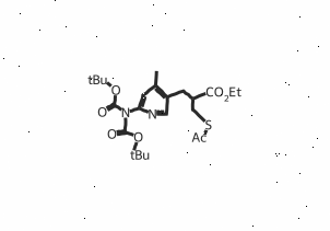 CCOC(=O)C(CSC(C)=O)Cc1cnc(N(C(=O)OC(C)(C)C)C(=O)OC(C)(C)C)cc1C